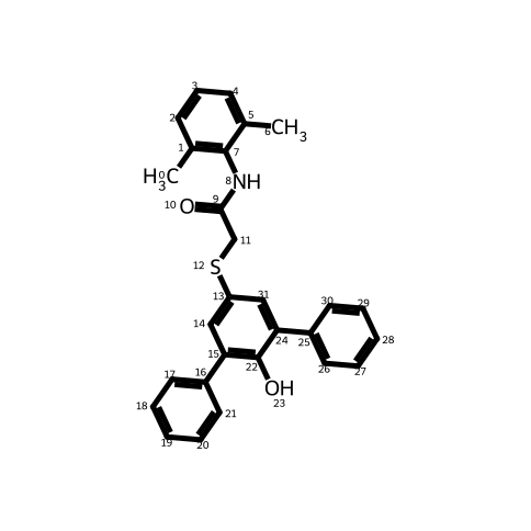 Cc1cccc(C)c1NC(=O)CSc1cc(-c2ccccc2)c(O)c(-c2ccccc2)c1